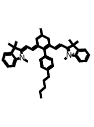 CCCCCc1ccc(C2=C(/C=C/C3=[N+](C)c4ccccc4C3(C)C)CC(C)C/C2=C\C=C2/N(C)c3ccccc3C2(C)C)cc1